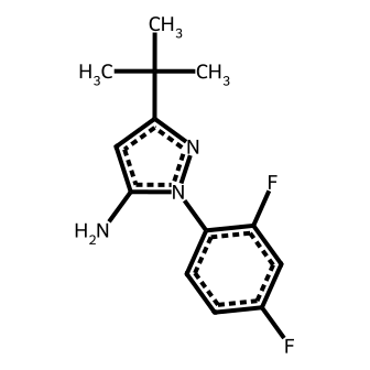 CC(C)(C)c1cc(N)n(-c2ccc(F)cc2F)n1